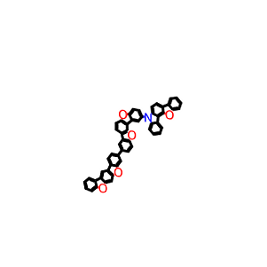 c1ccc2c(c1)oc1cc3oc4cc(-c5ccc6oc7c(ccc8oc9ccc(-n%10c%11ccccc%11c%11c%12oc%13ccccc%13c%12ccc%11%10)cc9c87)c6c5)ccc4c3cc12